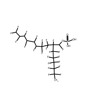 O=P(O)(O)OC(F)C(F)(C(F)(F)C(F)(F)C(F)C(F)C(F)C(F)C(F)C(F)F)C(F)(F)C(F)(F)C(F)(F)C(F)(F)C(F)(F)C(F)(F)F